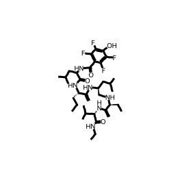 C=C(N[C@H](C(=O)NCC)C(C)C)[C@H](CC)NC[C@H](CC(C)C)NC(=C)[C@H](CCC)NC(=O)C(CC(C)C)NC(=O)c1c(F)c(F)c(O)c(F)c1F